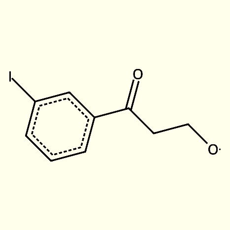 [O]CCC(=O)c1cccc(I)c1